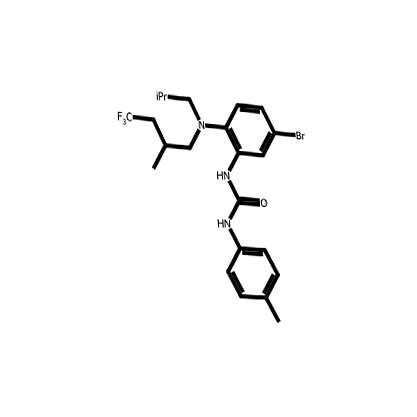 Cc1ccc(NC(=O)Nc2cc(Br)ccc2N(CC(C)C)CC(C)CC(F)(F)F)cc1